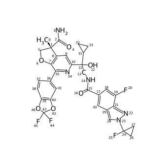 C[C@]1(C(N)=O)COc2c1cc(C(O)(CNC(=O)c1cc(F)c3nn(C4(F)CC4)cc3c1)C1CC1)nc2-c1ccc2c(c1)OC(F)(F)O2